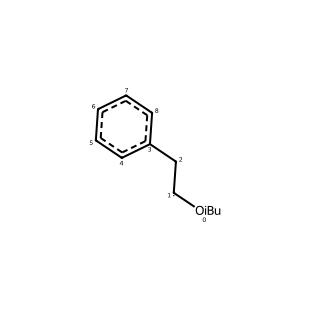 CC(C)CO[CH]Cc1ccccc1